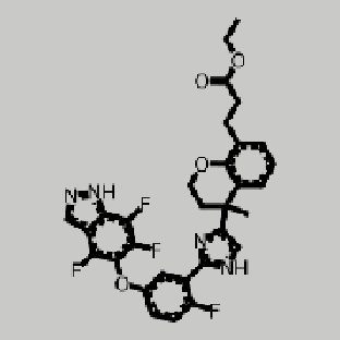 CCOC(=O)CCc1cccc2c1OCCC2(C)c1c[nH]c(-c2cc(Oc3c(F)c(F)c4[nH]ncc4c3F)ccc2F)n1